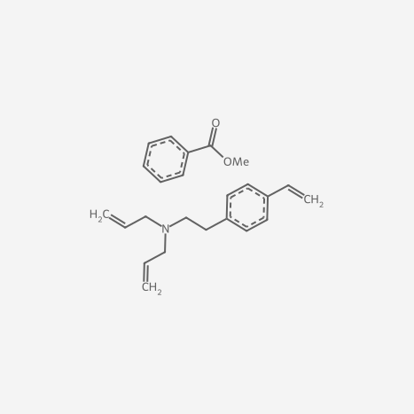 C=CCN(CC=C)CCc1ccc(C=C)cc1.COC(=O)c1ccccc1